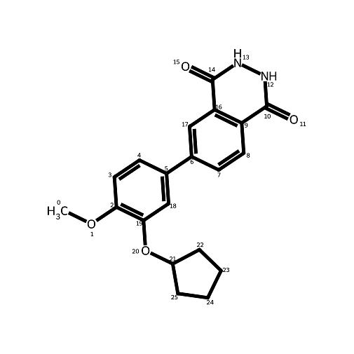 COc1ccc(-c2ccc3c(=O)[nH][nH]c(=O)c3c2)cc1OC1CCCC1